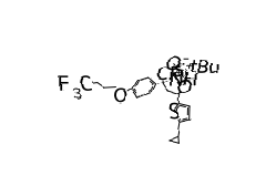 CC(C)(C)[S@+]([O-])NC(CC(=O)c1ccc(C2CC2)s1)(c1ccc(OCCCC(F)(F)F)cc1)C(F)(F)F